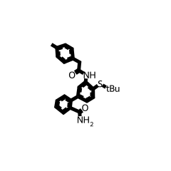 Cc1ccc(CC(=O)Nc2cc(-c3ccccc3C(N)=O)ccc2SC(C)(C)C)cc1